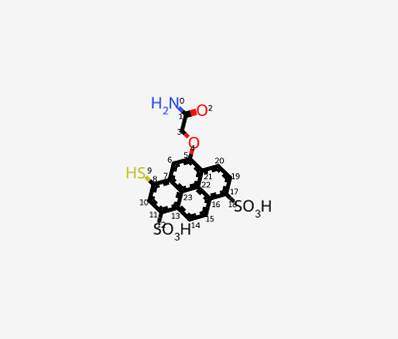 NC(=O)COc1cc2c(S)cc(S(=O)(=O)O)c3ccc4c(S(=O)(=O)O)ccc1c4c23